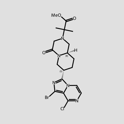 COC(=O)C(C)(C)N1CC(=O)N2C[C@@H](c3nc(Br)c4c(Cl)nccn34)CC[C@@H]2C1